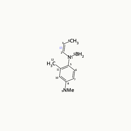 BN(/C=C\C)c1ccc(NC)cc1C